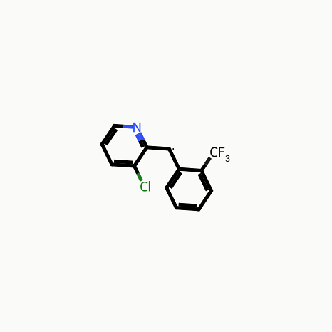 FC(F)(F)c1ccccc1[CH]c1ncccc1Cl